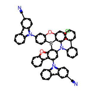 N#Cc1ccc2c(c1)c1ccccc1n2-c1ccc2c(c1)Oc1cc(Cl)cc3c1B2c1c(cc(-n2c4ccccc4c4cc(C#N)ccc42)c2c1oc1ccccc12)N3c1ccccc1-c1ccccc1